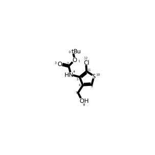 CC(C)(C)OC(=O)Nc1c(CO)csc1Cl